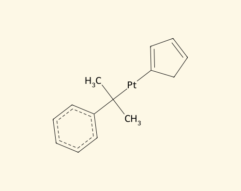 C[C](C)([Pt][C]1=CC=CC1)c1ccccc1